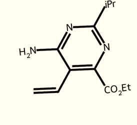 C=Cc1c(N)nc(C(C)C)nc1C(=O)OCC